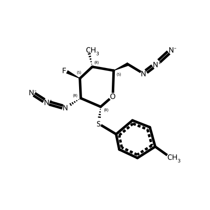 Cc1ccc(S[C@H]2O[C@H](CN=[N+]=[N-])[C@@H](C)[C@H](F)[C@H]2N=[N+]=[N-])cc1